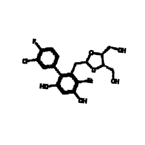 CCc1c(O)cc(O)c(-c2ccc(F)c(Cl)c2)c1CC1O[C@@H](CO)[C@H](CO)O1